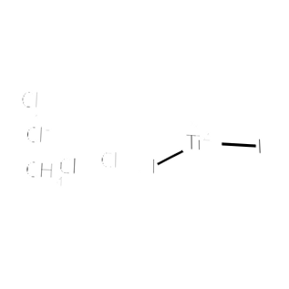 C.[Cl-].[Cl-].[Cl-].[Cl-].[I][Ti+4][I]